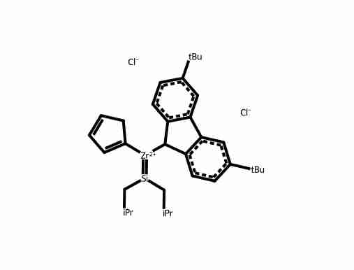 CC(C)C[Si](CC(C)C)=[Zr+2]([C]1=CC=CC1)[CH]1c2ccc(C(C)(C)C)cc2-c2cc(C(C)(C)C)ccc21.[Cl-].[Cl-]